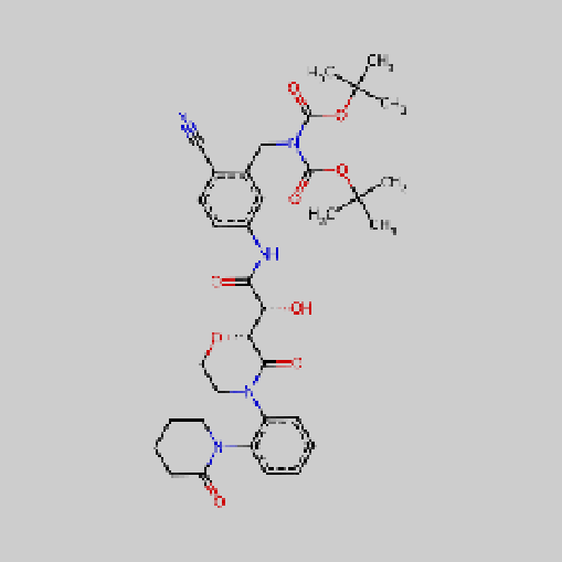 CC(C)(C)OC(=O)N(Cc1cc(NC(=O)[C@H](O)[C@H]2OCCN(c3ccccc3N3CCCCC3=O)C2=O)ccc1C#N)C(=O)OC(C)(C)C